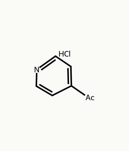 CC(=O)c1ccncc1.Cl